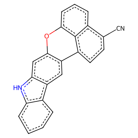 N#Cc1ccc2c3c(cccc13)Oc1cc3[nH]c4ccccc4c3cc1-2